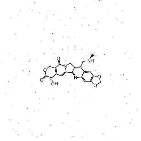 CC(C)NCc1c2c(nc3cc4c(cc13)OCO4)-c1cc3c(c(=O)n1C2)COC(=O)[C@H]3O